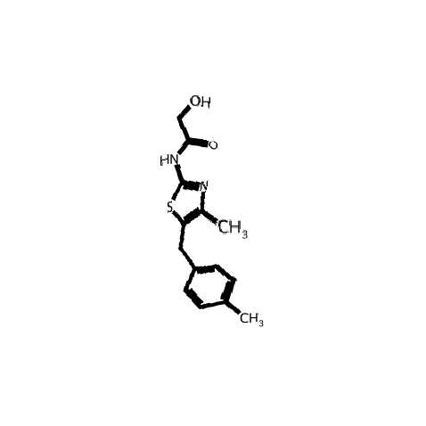 Cc1ccc(Cc2sc(NC(=O)CO)nc2C)cc1